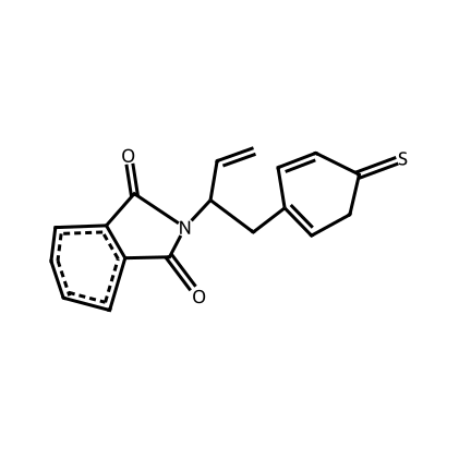 C=CC(CC1=CCC(=S)C=C1)N1C(=O)c2ccccc2C1=O